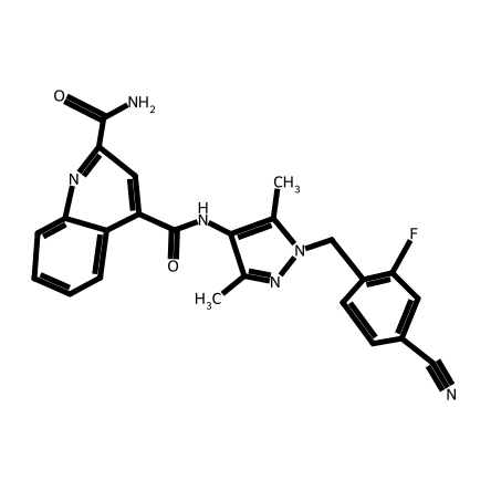 Cc1nn(Cc2ccc(C#N)cc2F)c(C)c1NC(=O)c1cc(C(N)=O)nc2ccccc12